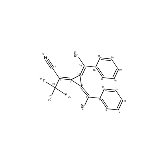 N#C/C(=C1/C(=C(Br)c2ccccc2)/C1=C(/Br)c1ccccc1)C(F)(F)F